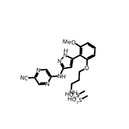 COc1cccc(OCCCN)c1-c1cc(Nc2cnc(C#N)cn2)n[nH]1.CS(=O)(=O)O.CS(=O)(=O)O